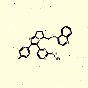 CCCNc1nccc(-c2c(-c3ccc(F)cc3)nc3n2C(COc2ccnc4ccccc24)CC3)n1